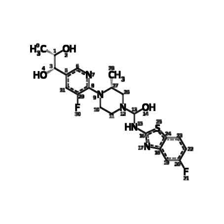 C[C@H](O)[C@@H](O)c1cnc(N2CCN(C(O)Nc3nc4cc(F)ccc4s3)C[C@H]2C)c(F)c1